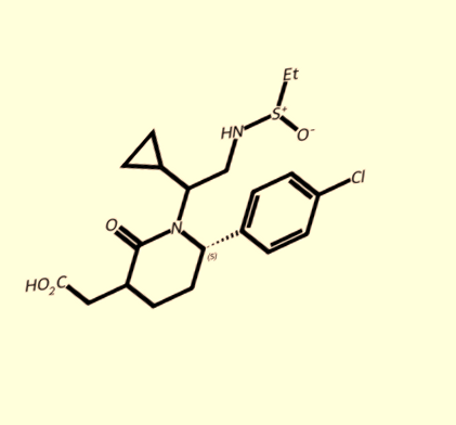 CC[S+]([O-])NCC(C1CC1)N1C(=O)C(CC(=O)O)CC[C@H]1c1ccc(Cl)cc1